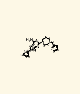 Nc1nc(N2CCCN(Cc3ccco3)CC2)nc2nc(-c3ccco3)nn12